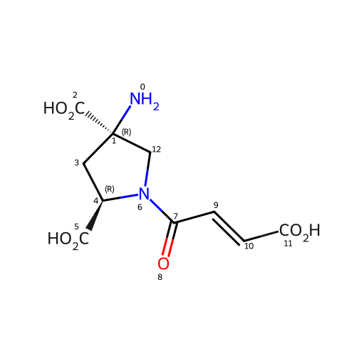 N[C@]1(C(=O)O)C[C@H](C(=O)O)N(C(=O)C=CC(=O)O)C1